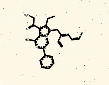 C=C/C(=C\C=C/C)Cc1c(CC)c(C(=O)CN)c2c(O)nc(-c3ccccc3)cn12